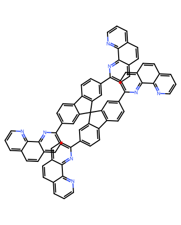 c1cnc2c(c1)ccc1ccc(-c3ccc4c(c3)C3(c5cc(-c6ccc7ccc8cccnc8c7n6)ccc5-4)c4cc(-c5ccc6ccc7cccnc7c6n5)ccc4-c4ccc(-c5ccc6ccc7cccnc7c6n5)cc43)nc12